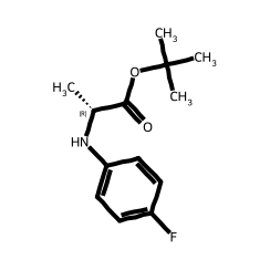 C[C@@H](Nc1ccc(F)cc1)C(=O)OC(C)(C)C